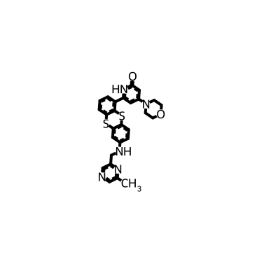 Cc1cncc(CNc2ccc3c(c2)Sc2cccc(-c4cc(N5CCOCC5)cc(=O)[nH]4)c2S3)n1